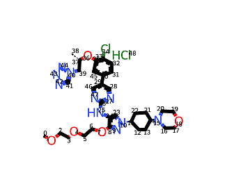 COCCOCCOc1nn([C@H]2CC[C@H](N3CCOCC3)CC2)cc1Nc1ncc(-c2ccc(Cl)c(O[C@@H](C)Cn3cnnn3)c2)cn1.Cl